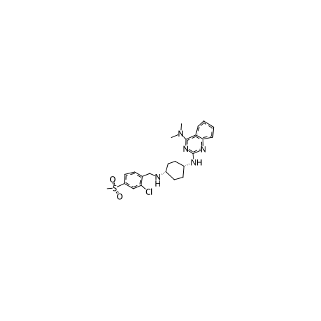 CN(C)c1nc(N[C@H]2CC[C@@H](NCc3ccc(S(C)(=O)=O)cc3Cl)CC2)nc2ccccc12